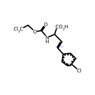 O=C(NC(/C=C/c1ccc(Cl)cc1)C(=O)O)OCC(Cl)(Cl)Cl